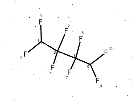 F[C](F)C(F)(F)C(F)(F)[C](F)F